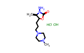 C=C1C(CCCN2CCN(C)CC2)OC(=O)N1N.Cl.Cl